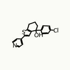 OC1(c2ccc(Cl)cc2)CCCc2sc(-c3ccncc3)cc21